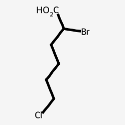 O=C(O)C(Br)CCCCCl